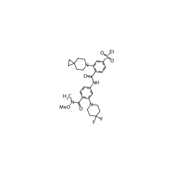 CCS(=O)(=O)c1ccc(C(=O)Nc2ccc(C(=O)N(C)OC)c(N3CCC(F)(F)CC3)c2)c(N2CCC3(CC2)CC3)c1